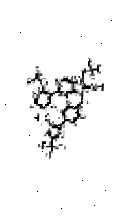 Cn1cc(C(F)(F)F)nc1-c1ccc(Cn2c(=N)n(CC(F)(F)F)c3cnc(-c4cccnc4OC(F)F)nc32)cc1